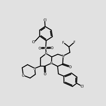 O=C1C(Cc2ccc(Cl)cc2)N2C(=O)C(N3CCOCC3)CN(S(=O)(=O)c3ccc(Cl)cc3Cl)C2CN1CC(F)F